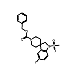 CS(=O)(=O)N1CC2(CCN(C(=O)OCc3ccccc3)CC2)c2cc(F)ccc21